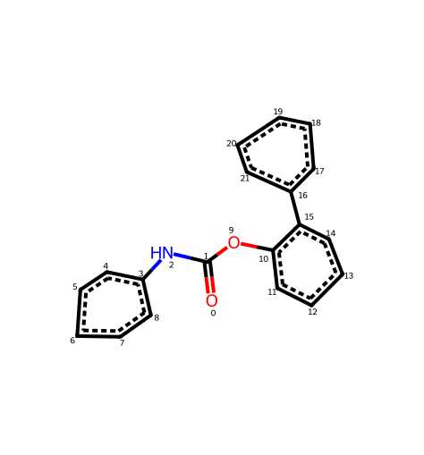 O=C(Nc1ccccc1)Oc1ccccc1-c1ccccc1